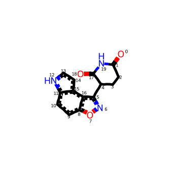 O=C1CCC(c2noc3ccc4[nH]ccc4c23)C(=O)N1